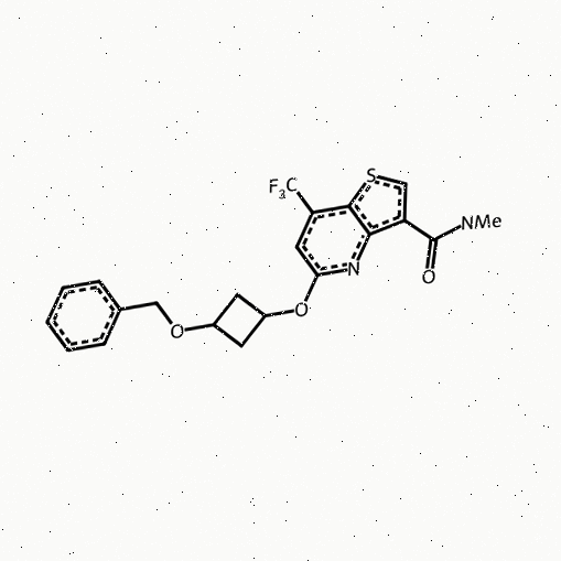 CNC(=O)c1csc2c(C(F)(F)F)cc(OC3CC(OCc4ccccc4)C3)nc12